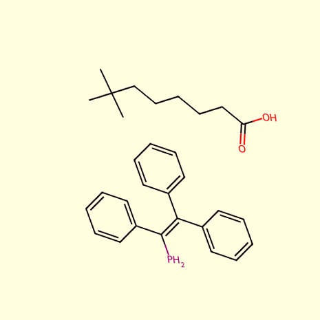 CC(C)(C)CCCCCC(=O)O.PC(=C(c1ccccc1)c1ccccc1)c1ccccc1